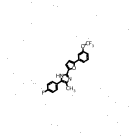 Cc1nc(-c2ccc(-c3cccc(OC(F)(F)F)c3)o2)[nH]c1-c1ccc(F)cc1